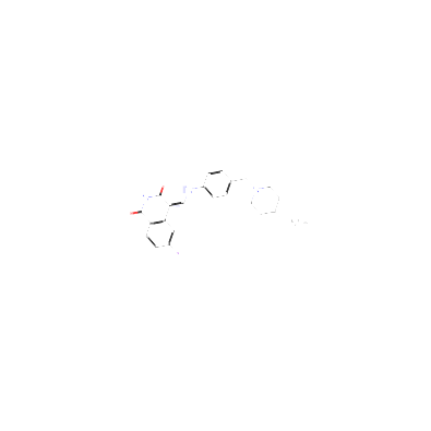 COC1CCN(Cc2ccc(N/C=C3\C(=O)NC(=O)c4ccc(I)cc43)cc2)CC1